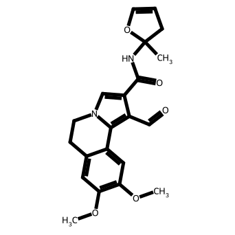 COc1cc2c(cc1OC)-c1c(C=O)c(C(=O)NC3(C)CC=CO3)cn1CC2